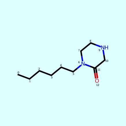 CCCCCCN1CCNCC1=O